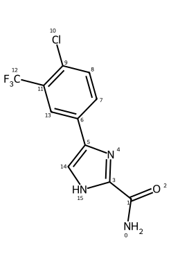 NC(=O)c1nc(-c2ccc(Cl)c(C(F)(F)F)c2)c[nH]1